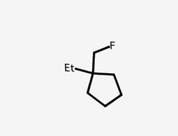 CCC1(CF)CCCC1